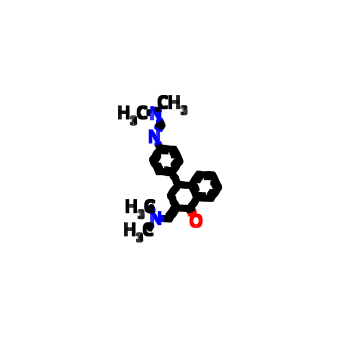 CN(C)C=Nc1ccc(C2CC(=CN(C)C)C(=O)c3ccccc32)cc1